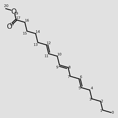 CCCCCC=CCC=CCC=CCCCCC(=O)OC